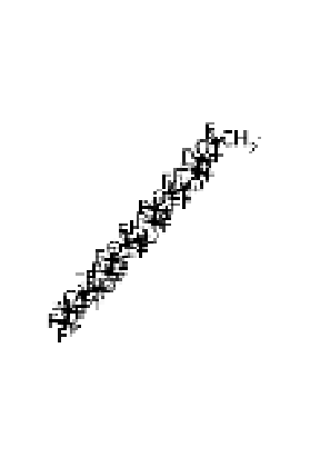 [CH2]C(F)(F)OC(F)(F)C(F)(F)OC(F)(F)C(F)(F)OC(F)(F)C(F)(F)OC(F)(F)C(F)(F)OC(F)(F)C(F)(F)OC(F)(F)C(F)(F)OC(F)(F)C(F)(F)F